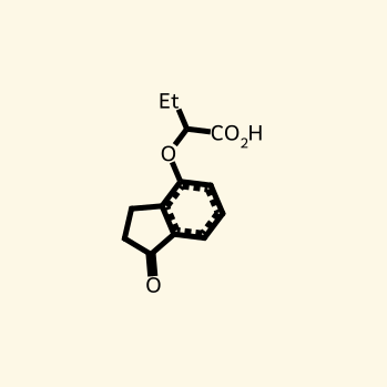 CCC(Oc1cccc2c1CCC2=O)C(=O)O